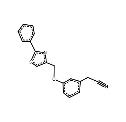 N#CCc1cccc(OCc2csc(-c3ccccc3)n2)c1